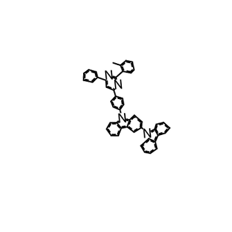 Cc1ccccc1-c1nc(-c2ccccc2)cc(-c2ccc(-n3c4ccccc4c4cc(-n5c6ccccc6c6ccccc65)ccc43)cc2)n1